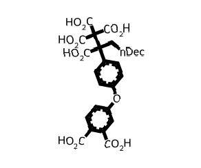 CCCCCCCCCCCC(C(=O)O)(c1ccc(Oc2ccc(C(=O)O)c(C(=O)O)c2)cc1)C(C(=O)O)(C(=O)O)C(=O)O